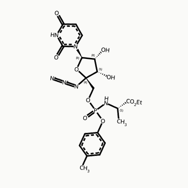 CCOC(=O)[C@H](C)NP(=O)(OC[C@@]1(N=[N+]=[N-])O[C@@H](n2ccc(=O)[nH]c2=O)[C@H](O)[C@@H]1O)Oc1ccc(C)cc1